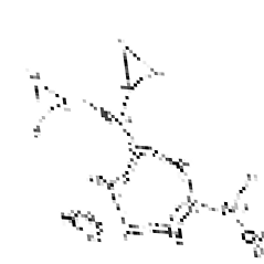 CON(C)c1ncnc(N(C2CC2)C2CC2)n1.Cl